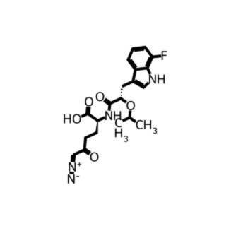 CC(C)O[C@@H](Cc1c[nH]c2c(F)cccc12)C(=O)N[C@@H](CCC(=O)C=[N+]=[N-])C(=O)O